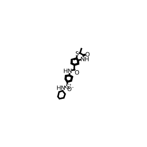 CC1Sc2ccc(C(=O)Nc3ccc([S+]([O-])NC4CCCCC4)cc3)cc2NC1=O